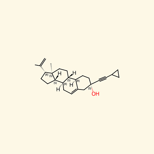 C=C(C)[C@H]1CC[C@H]2[C@@H]3CC=C4C[C@](O)(C#CC5CC5)CC[C@@H]4[C@H]3CC[C@]12C